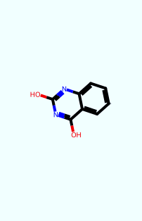 Oc1nc(O)c2c[c]ccc2n1